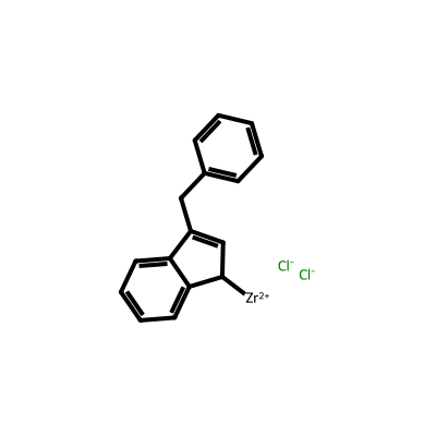 [Cl-].[Cl-].[Zr+2][CH]1C=C(Cc2ccccc2)c2ccccc21